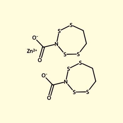 O=C([O-])N1SSCCSS1.O=C([O-])N1SSCCSS1.[Zn+2]